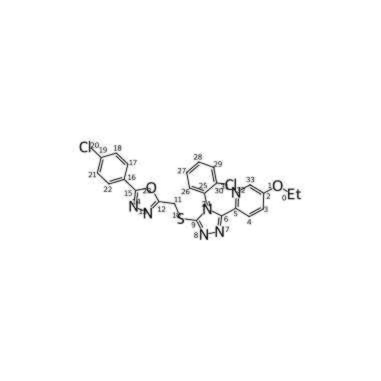 CCOc1ccc(-c2nnc(SCc3nnc(-c4ccc(Cl)cc4)o3)n2-c2ccccc2Cl)nc1